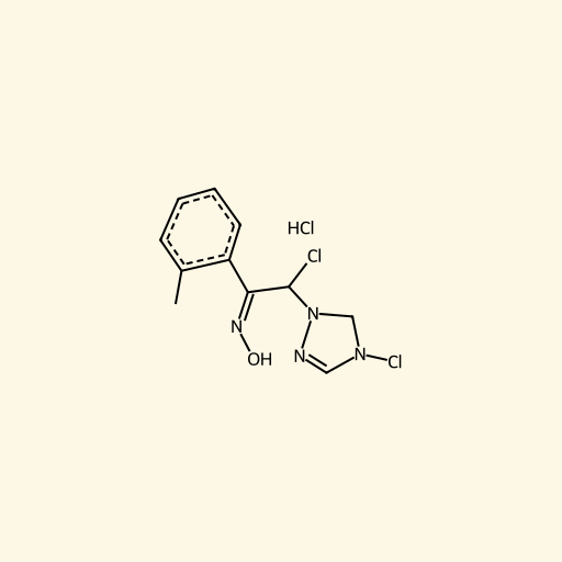 Cc1ccccc1C(=NO)C(Cl)N1CN(Cl)C=N1.Cl